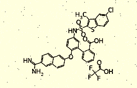 Cc1c(S(=O)(=O)Nc2ccc(Oc3ccc4cc(C(=N)N)ccc4c3)c(-c3ccccc3C(=O)O)c2)sc2ccc(Cl)cc12.O=C(O)C(F)(F)F